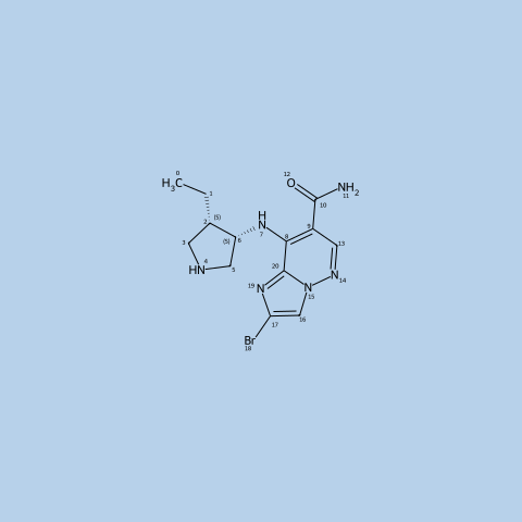 CC[C@H]1CNC[C@H]1Nc1c(C(N)=O)cnn2cc(Br)nc12